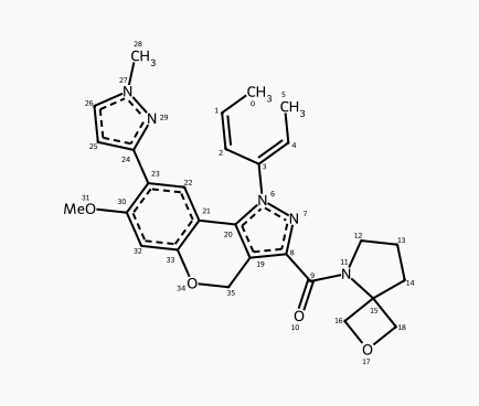 C/C=C\C(=C/C)n1nc(C(=O)N2CCCC23COC3)c2c1-c1cc(-c3ccn(C)n3)c(OC)cc1OC2